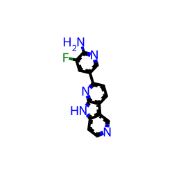 Nc1ncc(-c2ccc3c(n2)[nH]c2ccncc23)cc1F